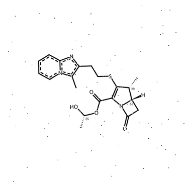 Cc1c(CCSC2=C(C(=O)O[C@H](C)O)N3C(=O)C[C@H]3[C@H]2C)nc2ccccn12